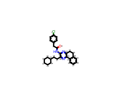 O=C(Cc1ccc(Cl)cc1)Nc1nc2c(nc1CCC1CCCCC1)-c1ccccc1CC2